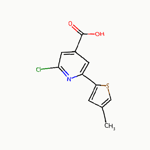 Cc1csc(-c2cc(C(=O)O)cc(Cl)n2)c1